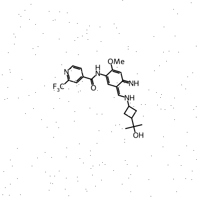 COC1=CC(=N)/C(=C\NC2CC(C(C)(C)O)C2)C=C1NC(=O)c1ccnc(C(F)(F)F)c1